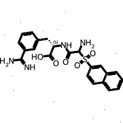 N=C(N)c1cccc(C[C@H](NC(=O)C(N)S(=O)(=O)c2ccc3ccccc3c2)C(=O)O)c1